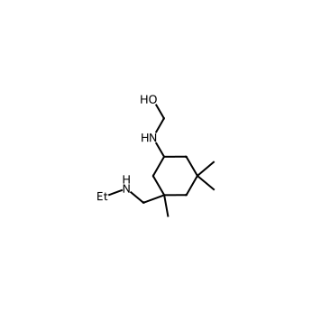 CCNCC1(C)CC(NCO)CC(C)(C)C1